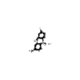 Nc1ccc(N(C=O)c2ccc(F)cc2Cl)cc1